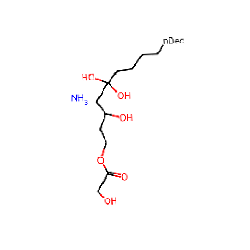 CCCCCCCCCCCCCCC(O)(O)CC(O)CCOC(=O)CO.N